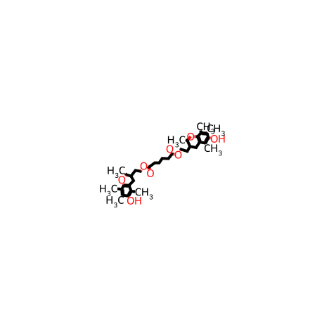 Cc1c(C)c2c(c(C)c1O)CC(CCOC(=O)CCCCC(=O)OCCC1Cc3c(C)c(O)c(C)c(C)c3OC1C)C(C)O2